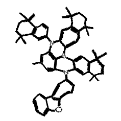 Cc1cc2c3c(c1)N(c1ccc4oc5ccccc5c4c1)c1cc4c(cc1B3c1cc3c(cc1N2c1ccc2c(c1)C(C)(C)CCC2(C)C)C(C)(C)CCC3(C)C)C(C)(C)CCC4(C)C